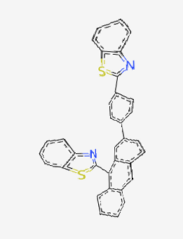 c1ccc2c(-c3nc4ccccc4s3)c3cc(-c4ccc(-c5nc6ccccc6s5)cc4)ccc3cc2c1